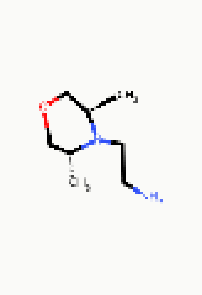 C[C@@H]1COC[C@@H](C)N1CCN